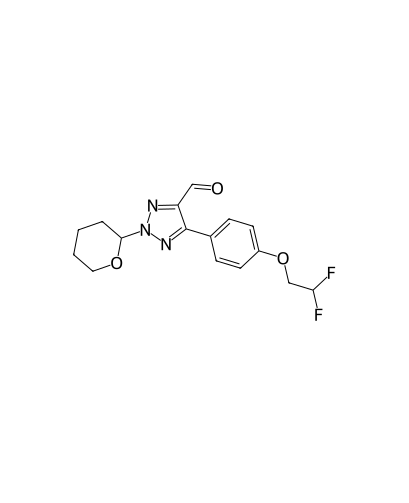 O=Cc1nn(C2CCCCO2)nc1-c1ccc(OCC(F)F)cc1